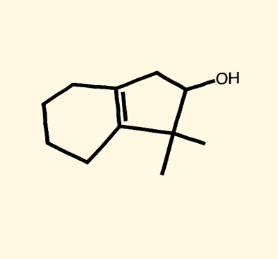 CC1(C)C2=C(CCCC2)CC1O